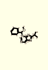 COC(c1ccccc1)n1cncc2nc(C(C)C)nc1-2